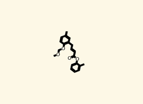 COCOc1ccc(C)cc1CC=CC(=O)Oc1ccccc1C